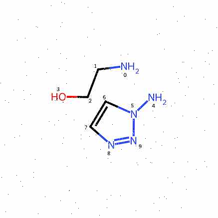 NCCO.Nn1ccnn1